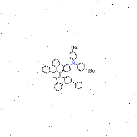 CC(C)(C)c1ccc(N(c2ccc(C(C)(C)C)cc2)c2ccc3c(c2)c2ccccc2c2c(-c4ccccc4)cc(-c4ccccc4)c(-c4ccc(-c5ccccc5)cc4)c32)cc1